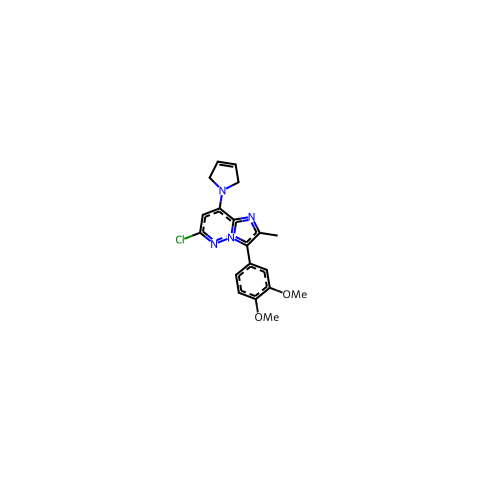 COc1ccc(-c2c(C)nc3c(N4CC=CC4)cc(Cl)nn23)cc1OC